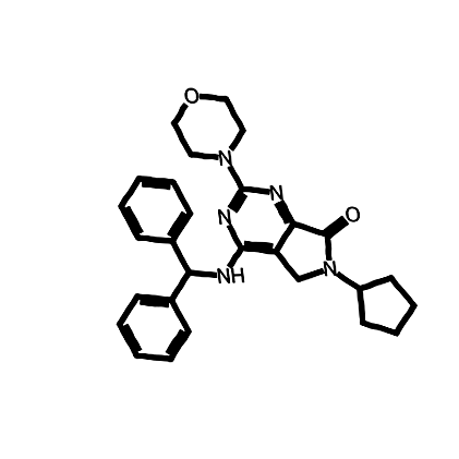 O=C1c2nc(N3CCOCC3)nc(NC(c3ccccc3)c3ccccc3)c2CN1C1CCCC1